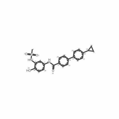 CS(=O)(=O)Nc1cc(NC(=O)c2ccc(-c3ccc(C4CC4)cc3)cc2)ccc1O